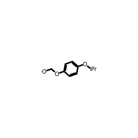 CC(C)Oc1ccc(OC[O])cc1